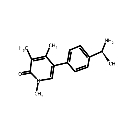 Cc1c(-c2ccc([C@H](C)N)cc2)cn(C)c(=O)c1C